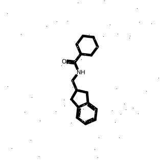 O=C(NCC1Cc2ccccc2C1)C1CCCCC1